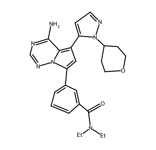 CCN(CC)C(=O)c1cccc(-c2cc(-c3ccnn3C3CCOCC3)c3c(N)ncnn23)c1